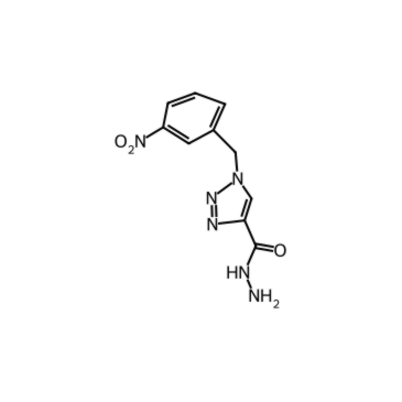 NNC(=O)c1cn(Cc2cccc([N+](=O)[O-])c2)nn1